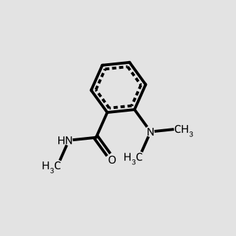 CNC(=O)c1ccccc1N(C)C